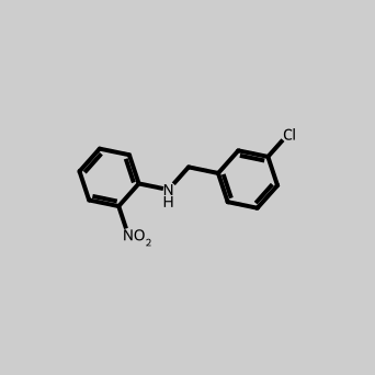 O=[N+]([O-])c1ccccc1NCc1cccc(Cl)c1